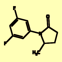 CC1CCC(=O)N1c1cc(F)cc(F)c1